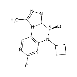 CC[C@@H]1c2nnc(C)n2-c2cnc(Cl)nc2N1C1CCC1